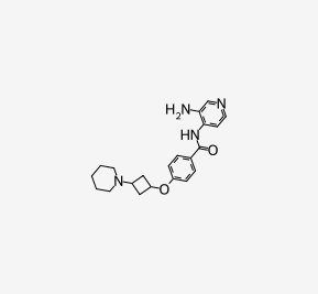 Nc1cnccc1NC(=O)c1ccc(OC2CC(N3CCCCC3)C2)cc1